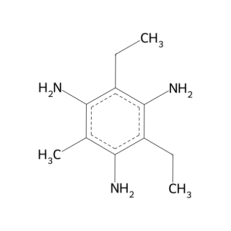 CCc1c(N)c(C)c(N)c(CC)c1N